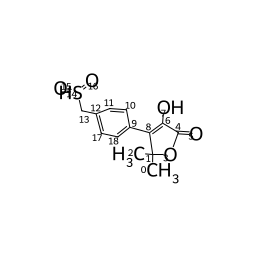 CC1(C)OC(=O)C(O)=C1c1ccc(C[SH](=O)=O)cc1